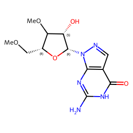 COC[C@H]1O[C@@H](n2ncc3c(=O)[nH]c(N)nc32)[C@@H](O)C1OC